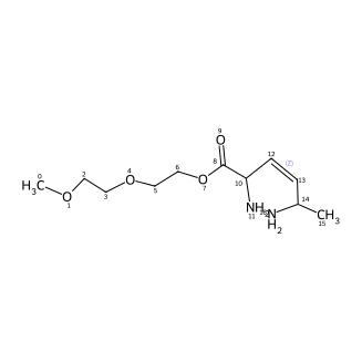 COCCOCCOC(=O)C(N)/C=C\C(C)N